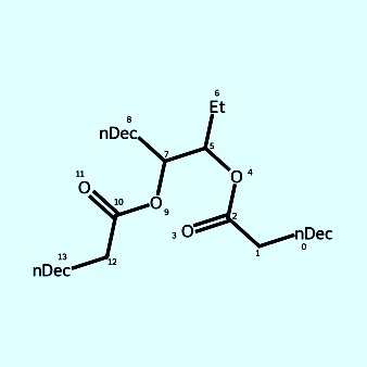 CCCCCCCCCCCC(=O)OC(CC)C(CCCCCCCCCC)OC(=O)CCCCCCCCCCC